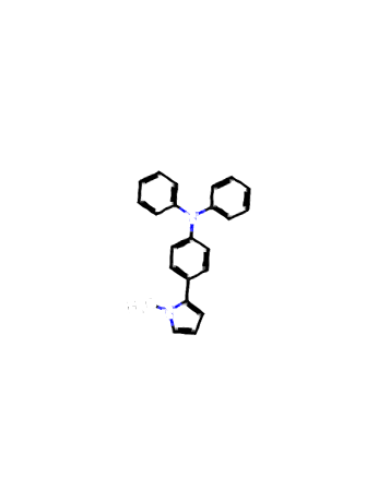 Cn1cccc1-c1ccc(N(c2ccccc2)c2ccccc2)cc1